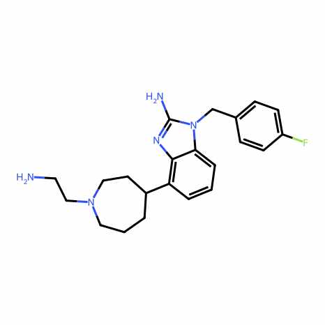 NCCN1CCCC(c2cccc3c2nc(N)n3Cc2ccc(F)cc2)CC1